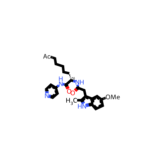 COc1ccc2[nH]c(C)c(CC(=O)N[C@@H](CCCCCC(C)=O)C(=O)Nc3ccncc3)c2c1